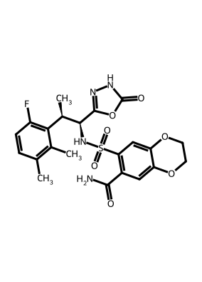 Cc1ccc(F)c([C@@H](C)[C@H](NS(=O)(=O)c2cc3c(cc2C(N)=O)OCCO3)c2n[nH]c(=O)o2)c1C